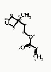 C=CC(=O)OCCC1(C)COC1